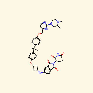 CC1CN(c2nccc(COc3ccc(C(C)(C)c4ccc(O[C@H]5C[C@H](Nc6ccc7c(c6)C(=O)N(C6CCC(=O)NC6=O)C7=O)C5)cc4)cc3)n2)CCN1C